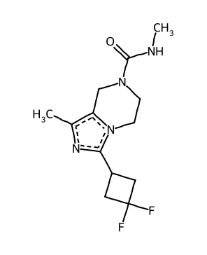 CNC(=O)N1CCn2c(C3CC(F)(F)C3)nc(C)c2C1